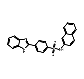 O=S(=O)(Nc1ccc2ccccc2c1)c1ccc(-c2nc3ccccc3[nH]2)cc1